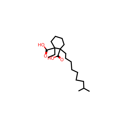 CCC1(C(=O)O)CCCCC1(CCCCCCCC(C)C)C(=O)O